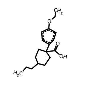 CCCC1CCC(C(=O)O)(c2ccc(OCC)cc2)CC1